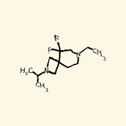 CCN1CCC2(CN(C(C)C)C2)C(F)(F)C1